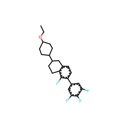 CCOC1CCC(C2CCc3c(ccc(-c4cc(F)c(F)c(F)c4)c3F)C2)CC1